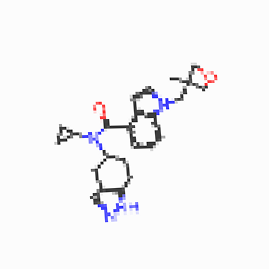 CC1(Cn2ccc3c(C(=O)N(C4CC4)C4CCc5[nH]ncc5C4)cccc32)COC1